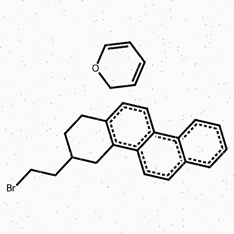 BrCCC1CCc2ccc3c(ccc4ccccc43)c2C1.C1=CCOC=C1